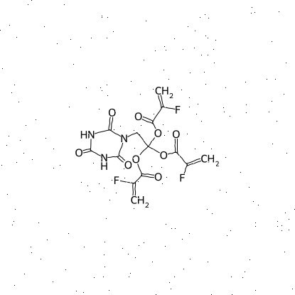 C=C(F)C(=O)OC(Cn1c(=O)[nH]c(=O)[nH]c1=O)(OC(=O)C(=C)F)OC(=O)C(=C)F